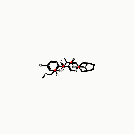 COCCNC(=O)c1ccc(N2C3CCC2CC(NC(=O)C(C)Oc2ccc(Cl)cc2Cl)C3)nc1